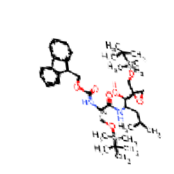 CC(C)CC(NC(=O)[C@H](CO[Si](C)(C)C(C)(C)C)NC(=O)OCC1c2ccccc2-c2ccccc21)C(O)C1(CO[Si](C)(C)C(C)(C)C)CO1